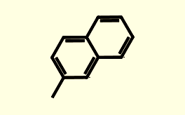 Cc1[c]c2[c]cccc2cc1